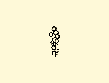 CN1c2ccc(C(F)(F)F)cc2C(C)(C)C12C=Cc1c(ccc3sc4ccccc4c(=O)c13)O2